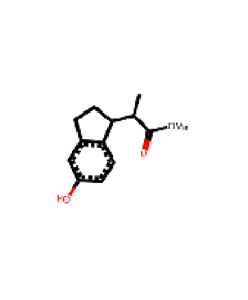 COC(=O)C(C)C1CCc2cc(O)ccc21